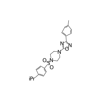 Cc1ccc(-c2noc(N3CCN(S(=O)(=O)c4ccc(C(C)C)cc4)CC3)n2)cc1